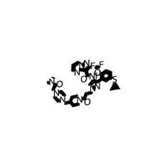 CN(C)C(=O)CN1CCN(CC2CCN(C(=O)CCn3cc(NC(=O)c4cnn5cccnc45)c(-c4cc(SC5CC5)ccc4OC(F)F)n3)CC2)CC1